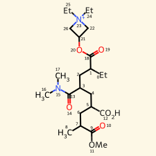 CCC(CC(CC(CC(C)C(=O)OC)C(=O)O)C(=O)N(C)C)C(=O)OC1C[N+](CC)(CC)C1